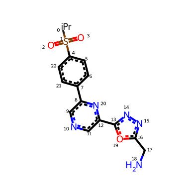 CC(C)S(=O)(=O)c1ccc(-c2cncc(-c3nnc(CN)o3)n2)cc1